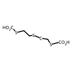 O=C(O)SCCSCCSC(=O)O